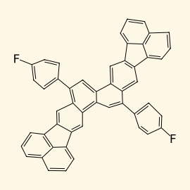 Fc1ccc(-c2cc3c4cc5c(cc4c(-c4ccc(F)cc4)cc3c3cc4c(cc23)-c2cccc3cccc-4c23)-c2cccc3cccc-5c23)cc1